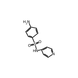 Nc1ccc(S(=O)(=O)Nc2ccncc2)cc1